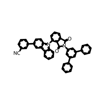 N#Cc1cccc(-c2ccc3c(c2)c2ccccc2n3-c2cccc3c2C(=O)N(c2cc(-c4ccccc4)cc(-c4ccccc4)c2)C3=O)c1